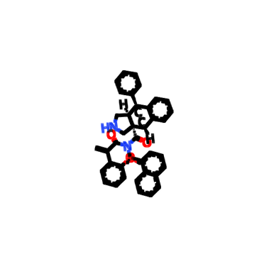 C=C(C(=O)N(C(=O)[C@]12CNC[C@H]1[C@@]1(c3ccccc3)CC[C@@H]2c2ccccc21)[C@H](C)c1cccc2ccccc12)c1ccccc1OC